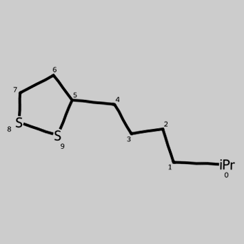 CC(C)CCCCC1CCSS1